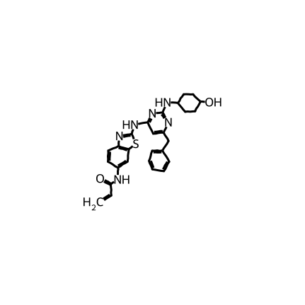 C=CC(=O)Nc1ccc2nc(Nc3cc(Cc4ccccc4)nc(NC4CCC(O)CC4)n3)sc2c1